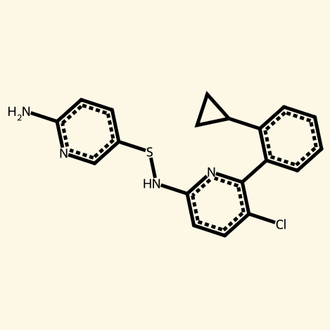 Nc1ccc(SNc2ccc(Cl)c(-c3ccccc3C3CC3)n2)cn1